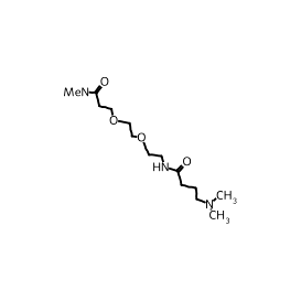 CNC(=O)CCOCCOCCNC(=O)CCCN(C)C